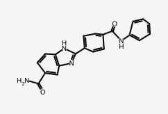 NC(=O)c1ccc2[nH]c(-c3ccc(C(=O)Nc4ccccc4)cc3)nc2c1